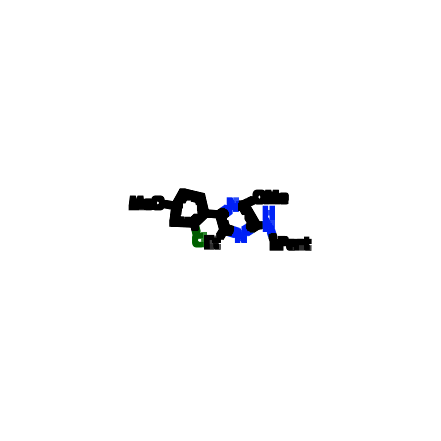 CCCCCNc1nc(CC)c(-c2ccc(OC)cc2Cl)nc1OC